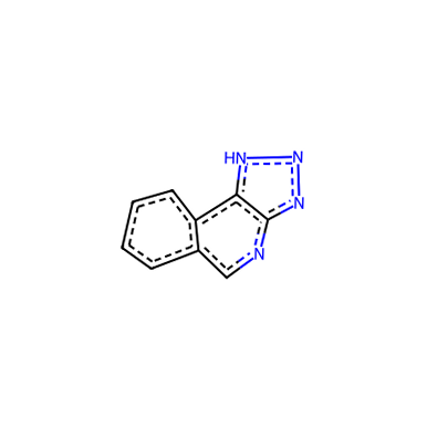 c1ccc2c(c1)cnc1nn[nH]c12